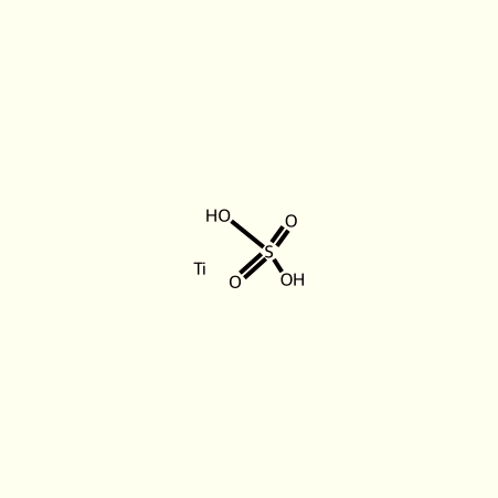 O=S(=O)(O)O.[Ti]